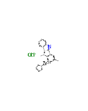 CC1=C2C(=Nc3ccccc32)c2cc(C)c[c]([Zr+2][C]3=CC=CC3)c21.[Cl-].[Cl-]